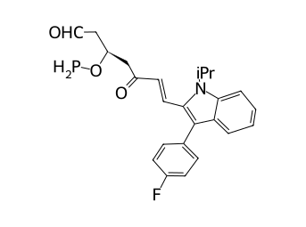 CC(C)n1c(/C=C/C(=O)C[C@H](CC=O)OP)c(-c2ccc(F)cc2)c2ccccc21